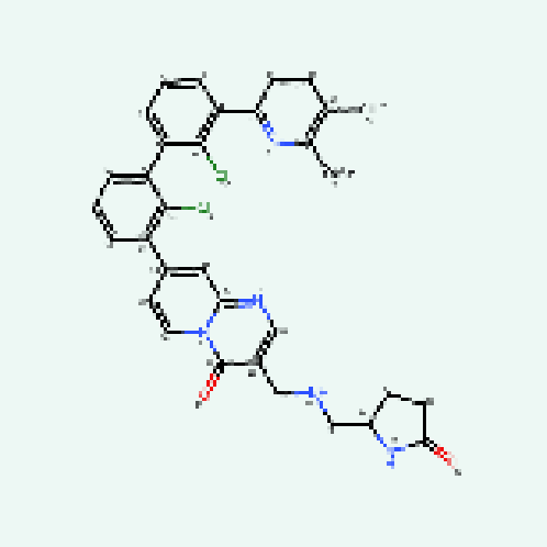 COc1nc(-c2cccc(-c3cccc(-c4ccn5c(=O)c(CNCC6CCC(=O)N6)cnc5c4)c3Cl)c2Cl)ccc1C=O